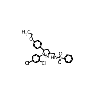 CCOc1ccc(C2CC(CNS(=O)(=O)c3ccccc3)=NN2c2ccc(Cl)cc2Cl)cc1